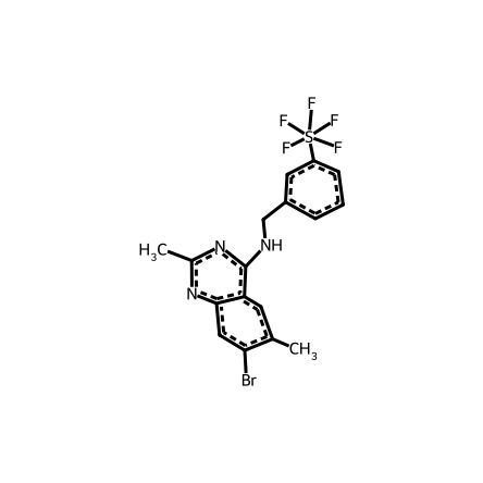 Cc1nc(NCc2cccc(S(F)(F)(F)(F)F)c2)c2cc(C)c(Br)cc2n1